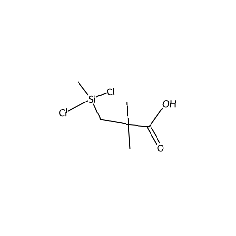 CC(C)(C[Si](C)(Cl)Cl)C(=O)O